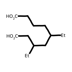 CCC(CCCC(=O)O)CC(CC)CC(=O)O